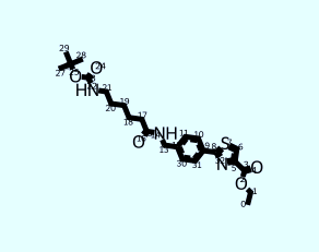 CCOC(=O)c1csc(-c2ccc(CNC(=O)CCCCCNC(=O)OC(C)(C)C)cc2)n1